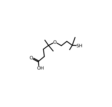 CC(C)(S)CCOC(C)(C)CCC(=O)O